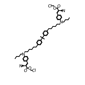 CCCCN(CCCCCCc1ccc(C(C)(C)c2ccc(CCCCCCN(CCCC)c3ccc(/C=C(\C#N)C(=O)OCCl)cc3)cc2)cc1)c1ccc(/C=C(\C#N)C(=O)OCCl)cc1